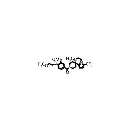 COc1cc(C(=O)N2CCC3(CC2)c2ccc(C(F)(F)F)n2CCN3C)ccc1OCCOC(F)(F)F